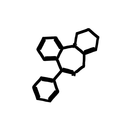 C1=C2CN=C(c3ccccc3)c3ccccc3N2CCC1